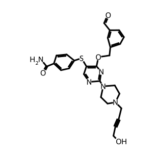 NC(=O)c1ccc(Sc2cnc(N3CCN(CC#CCO)CC3)nc2OCc2cccc(C=O)c2)cc1